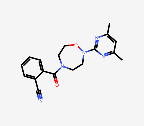 Cc1cc(C)nc(N2CCN(C(=O)c3ccccc3C#N)CCO2)n1